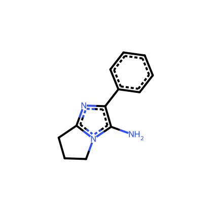 Nc1c(-c2ccccc2)nc2n1CCC2